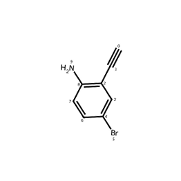 C#Cc1cc(Br)ccc1N